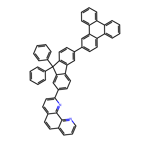 c1ccc(C2(c3ccccc3)c3ccc(-c4ccc5c6ccccc6c6ccccc6c5c4)cc3-c3ccc(-c4ccc5ccc6cccnc6c5n4)cc32)cc1